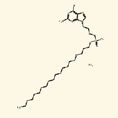 N.Nc1nc(Br)c2ncn(CCOCP(=O)(O)OCCCOCCCCCCCCCCCCCCCC(F)(F)F)c2n1